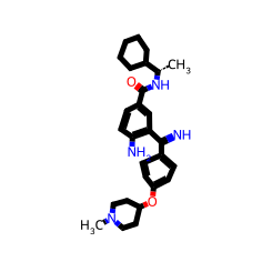 C[C@H](NC(=O)c1ccc(N)c(C(=N)c2ccc(OC3CCN(C)CC3)cc2)c1)C1CCCCC1